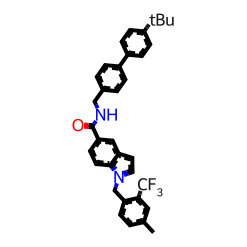 Cc1ccc(Cn2ccc3cc(C(=O)NCc4ccc(-c5ccc(C(C)(C)C)cc5)cc4)ccc32)c(C(F)(F)F)c1